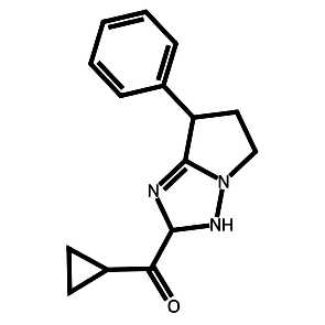 O=C(C1CC1)C1N=C2C(c3ccccc3)CCN2N1